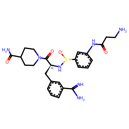 N=C(N)c1cccc(C[C@H](N[S+]([O-])c2cccc(NC(=O)CCN)c2)C(=O)N2CCC(C(N)=O)CC2)c1